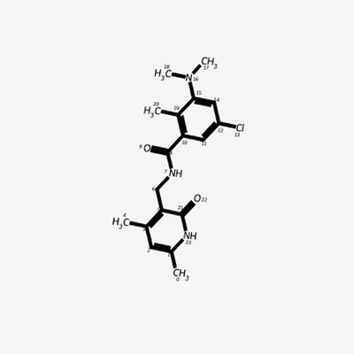 Cc1cc(C)c(CNC(=O)c2cc(Cl)cc(N(C)C)c2C)c(=O)[nH]1